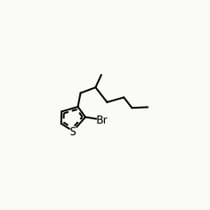 CCCCC(C)Cc1ccsc1Br